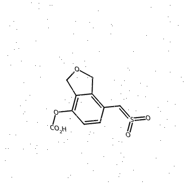 O=C(O)Oc1ccc(C=S(=O)=O)c2c1COC2